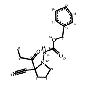 CCC(=O)C1(C#N)CCCN1NC(=O)OCc1ccccc1